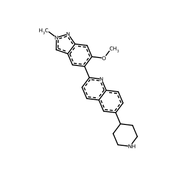 COc1cc2nn(C)cc2cc1-c1ccc2cc(C3CCNCC3)ccc2n1